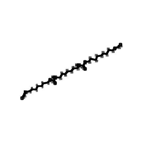 O=C=NCCCCCCCOC(=O)NCCCCCCCNC(=O)OCCCCCCCCCOC=O